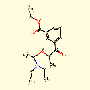 CCOC(=O)c1cccc(C(=O)C(C)OC(C)N(CC)CC)c1